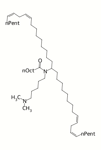 CCCCC/C=C\C/C=C\CCCCCCCCC(CCCCCCCC/C=C\C/C=C\CCCCC)N(CCCCCN(C)C)C(=O)CCCCCCCC